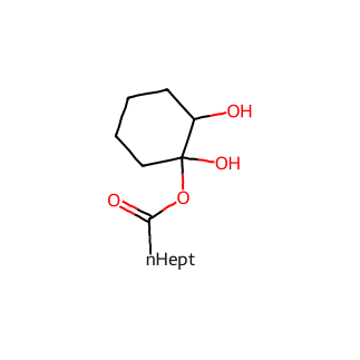 CCCCCCCC(=O)OC1(O)CCCCC1O